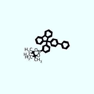 CC1(C)OB(c2cccc(C3(c4ccc(-c5ccccc5)cc4)c4ccccc4-c4ccccc43)c2)OC1(C)C